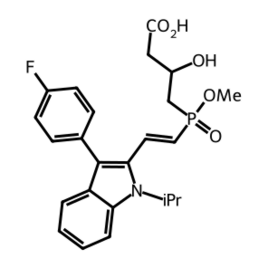 COP(=O)(C=Cc1c(-c2ccc(F)cc2)c2ccccc2n1C(C)C)CC(O)CC(=O)O